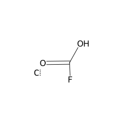 O=C(O)F.[C]